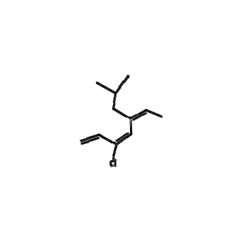 C=C/C(Cl)=C\C(=C/C)CC(C)C